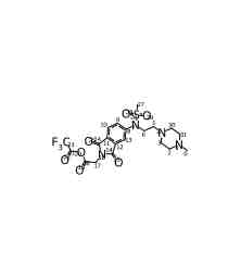 CN1CCN(CCN(c2ccc3c(c2)C(=O)N(CC(=O)OC(=O)C(F)(F)F)C3=O)S(C)(=O)=O)CC1